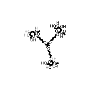 CC(=O)NC1CC(O)[C@@H](O)C(CO)O[C@H]1OCCCCCOCC(C)(COCCCCCO[C@@H]1OC(CO)[C@H](O)C(O)CC1NC(C)=O)COCCCCCO[C@@H]1OC(CO)[C@H](O)C(O)C1NC(C)=O